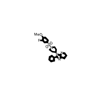 COc1ccc(S(=O)(=O)N2CCC(n3c(-c4ccccc4)nc4cccnc43)CC2)cc1F